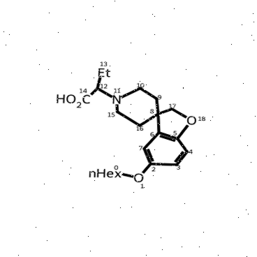 CCCCCCOc1ccc2c(c1)C1(CCN(C(CC)C(=O)O)CC1)CO2